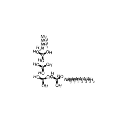 N.N.N.N.N.N.N.N.N.N.N.OB(O)O.OB(O)O.OB(O)O.OB(O)O